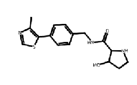 Cc1ncsc1-c1ccc(CNC(=O)C2NCCC2O)cc1